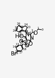 CCOCc1nc(=O)c(S(=O)(=O)c2ccc(Br)cc2)c(O)n1[C@H]1CCc2ccccc21